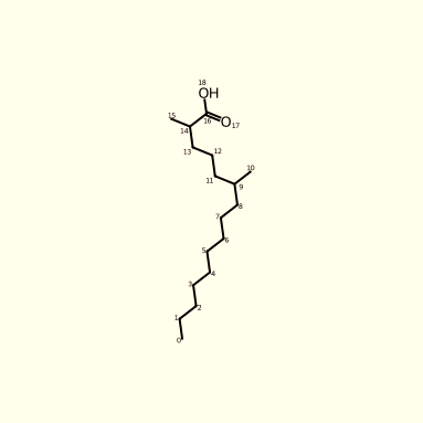 CCCCCCCCCC(C)CCCC(C)C(=O)O